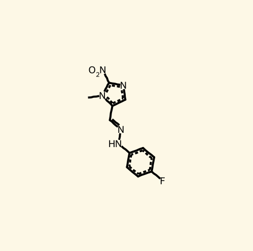 Cn1c(/C=N/Nc2ccc(F)cc2)cnc1[N+](=O)[O-]